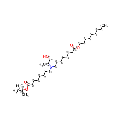 CCCCCCCCCOC(=O)CCCCCCCN(CCCCCCCC(=O)OC(C)(C)C)C(C)CO